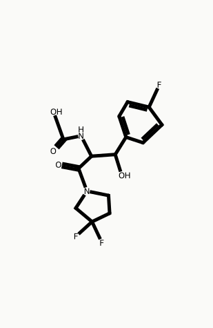 O=C(O)NC(C(=O)N1CCC(F)(F)C1)C(O)c1ccc(F)cc1